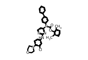 Cc1cccc(C)c1OC(=O)N(c1ccc(-c2ccccc2)cc1)c1ccnc(Nc2ccc(N3CCOCC3)c(Cl)c2)n1